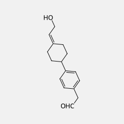 O=CCc1ccc(C2CCC(=CCO)CC2)cc1